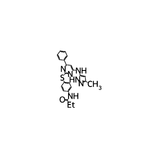 CCC(=O)Nc1ccc(Sc2nc(Nc3cc(C)n[nH]3)cc(-c3ccccc3)n2)cc1